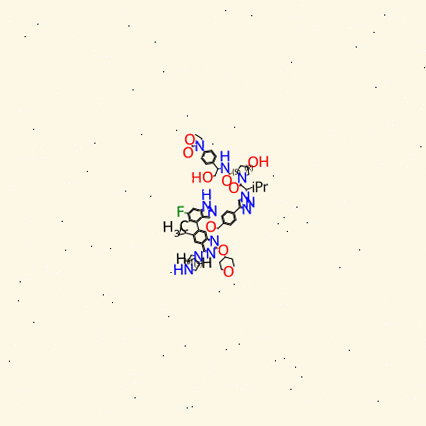 Cc1c(F)cc2[nH]ncc2c1-c1c(C2CC2)cc2c(N3C[C@@H]4C[C@H]3CN4)nc(OC3CCOCC3)nc2c1OCc1ccc(-c2cn(C(C(=O)N3C[C@H](O)C[C@H]3C(=O)NC(CO)c3ccc(N4CCOC4=O)cc3)C(C)C)nn2)cc1